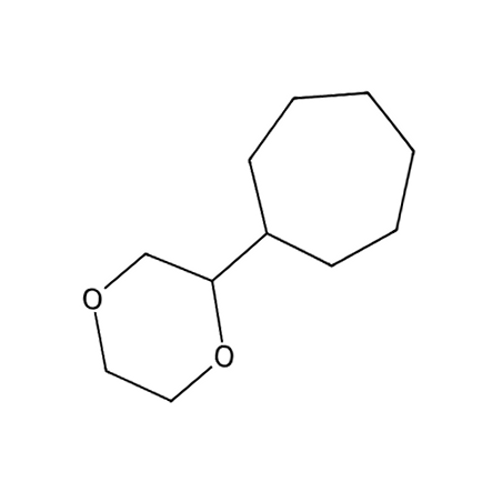 C1CCCC(C2COCCO2)CC1